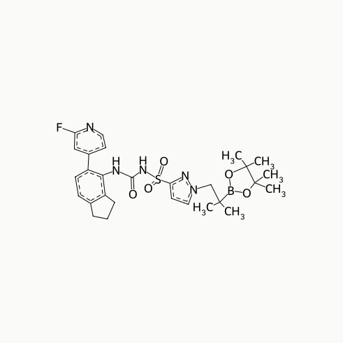 CC(C)(Cn1ccc(S(=O)(=O)NC(=O)Nc2c(-c3ccnc(F)c3)ccc3c2CCC3)n1)B1OC(C)(C)C(C)(C)O1